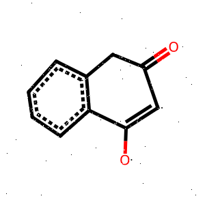 [O]C1=[C]C(=O)Cc2ccccc21